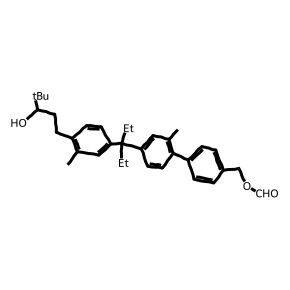 CCC(CC)(c1ccc(CCC(O)C(C)(C)C)c(C)c1)c1ccc(-c2ccc(COC=O)cc2)c(C)c1